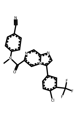 CN(C(=O)c1cn2c(-c3ccc(Cl)c(C(F)(F)F)c3)cnc2cn1)c1ccc(C#N)cc1